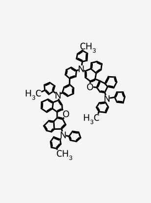 Cc1ccc(N(c2ccccc2)c2cc3oc4cc(N(c5ccc(C)cc5)c5cccc(-c6cccc(N(c7cccc(C)c7)c7cc8oc9cc(N(c%10ccccc%10)c%10cccc(C)c%10)c%10ccccc%10c9c8c8ccccc78)c6)c5)c5ccccc5c4c3c3ccccc23)cc1